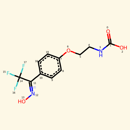 O=C(O)NCCOc1ccc(/C(=N/O)C(F)(F)F)cc1